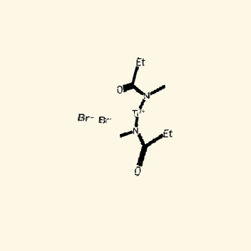 CCC(=O)[N](C)[Ti+2][N](C)C(=O)CC.[Br-].[Br-]